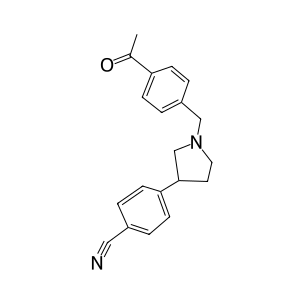 CC(=O)c1ccc(CN2CCC(c3ccc(C#N)cc3)C2)cc1